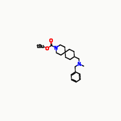 CN(Cc1ccccc1)CC1CCC2(CC1)CCN(C(=O)OC(C)(C)C)CC2